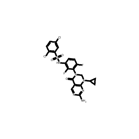 Nc1ncc2c(n1)N(C1CC1)CN(c1c(F)ccc(NS(=O)(=O)c3cc(Cl)ccc3Cl)c1F)C2=O